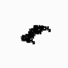 COc1ccc(Nc2nccc3nc(NCc4ccccc4OC)ncc23)c(OC)c1